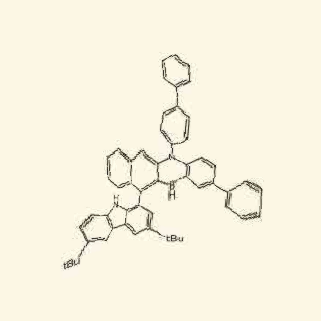 CC(C)(C)c1ccc2[nH]c3c(-c4c5c(cc6ccccc46)N(c4ccc(-c6ccccc6)cc4)c4ccc(-c6ccccc6)cc4B5)cc(C(C)(C)C)cc3c2c1